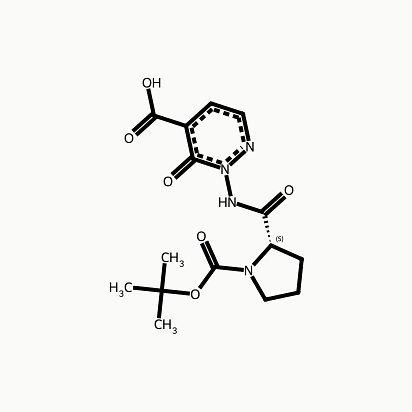 CC(C)(C)OC(=O)N1CCC[C@H]1C(=O)Nn1nccc(C(=O)O)c1=O